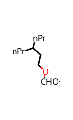 CCCC(CCC)CCO[C]=O